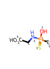 CCP(O)(=S)NCC(=O)O